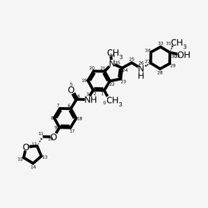 Cc1c(NC(=O)c2ccc(OC[C@@H]3CCCO3)cc2)ccc2c1cc(CN[C@H]1CC[C@](C)(O)CC1)n2C